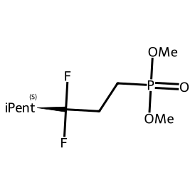 CCC[C@H](C)C(F)(F)CCP(=O)(OC)OC